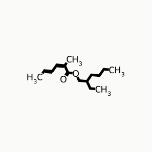 CC=CC=C(C)C(=O)OCC(CC)CCCC